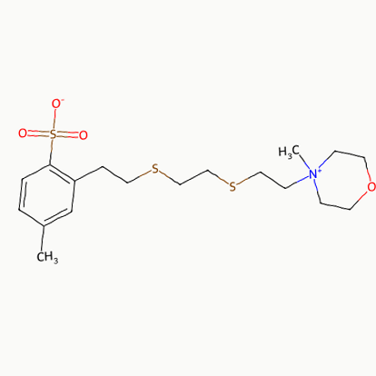 Cc1ccc(S(=O)(=O)[O-])c(CCSCCSCC[N+]2(C)CCOCC2)c1